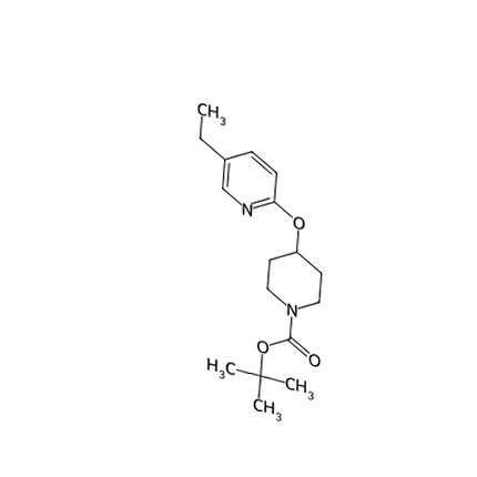 CCc1ccc(OC2CCN(C(=O)OC(C)(C)C)CC2)nc1